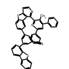 Cc1c(-c2ccccc2)cc(-c2ccccc2)nc1-c1nccc2sc3ccc(-c4cc(C#N)cc(-c5cccc6c5sc5ccccc56)c4)cc3c12